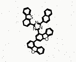 C1=C(c2nc(C3=CC(c4cccc5oc6ccccc6c45)=CC4Oc5ccccc5C34)nc(-c3ccc4ccccc4c3)n2)c2sc3ccccc3c2CC1